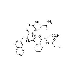 NC(=O)CC[C@H](NC(=O)[C@H](Cc1ccc2ccccc2c1)NC(=O)[C@@H]1CCCCN1C(=O)[C@H](CC(=O)O)NC(=O)CCl)C(N)=O